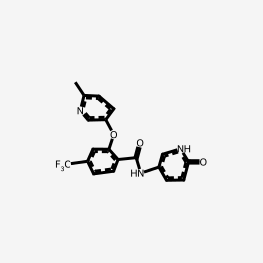 Cc1ccc(Oc2cc(C(F)(F)F)ccc2C(=O)Nc2ccc(=O)[nH]c2)cn1